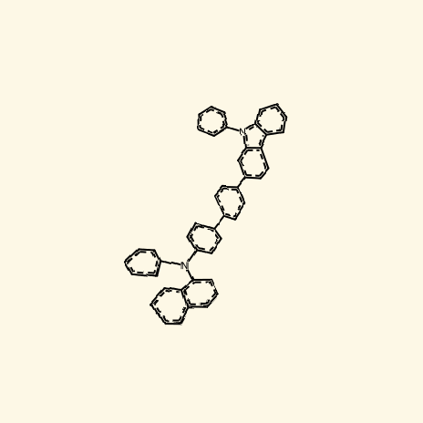 c1ccc(N(c2ccc(-c3ccc(-c4ccc5c6ccccc6n(-c6ccccc6)c5c4)cc3)cc2)c2cccc3ccccc23)cc1